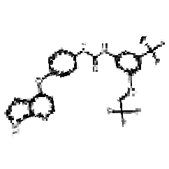 O=C(Nc1ccc(Oc2ccnc3[nH]ccc23)cc1)Nc1cc(OCC(F)(F)F)cc(C(F)(F)F)c1